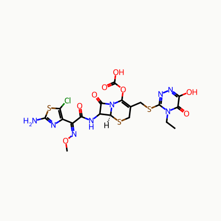 CCn1c(SCC2=C(OC(=O)O)N3C(=O)C(NC(=O)C(=NOC)c4nc(N)sc4Cl)[C@@H]3SC2)nnc(O)c1=O